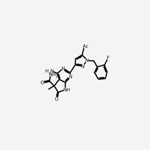 CC(=O)c1cc(-c2nc(N)c3c(n2)NC(=O)C3(C)C(N)=O)nn1Cc1ccccc1F